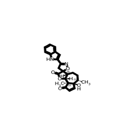 C[C@H]1CC[C@@H]2[C@@H](OC(=O)C23CC(c2cc4ccccc4[nH]2)=NO3)[C@]2(C)C(=O)C=C[C@@]12O